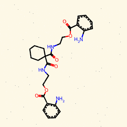 Nc1ccccc1C(=O)OCCNC(=O)C1(C(=O)NCCOC(=O)c2ccccc2N)CCCCC1